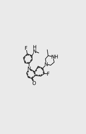 CNc1cc(-n2ccc(=O)c3cc(F)c(N4CCNC(C)C4)cc32)ccc1F